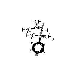 C[SiH](C)[SiH2][Si](C)(C)c1ccccc1